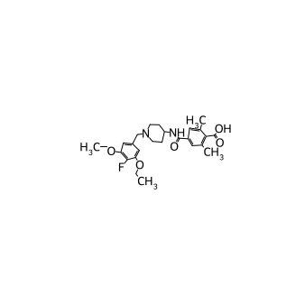 CCOc1cc(CN2CCC(NC(=O)c3cc(C)c(C(=O)O)c(C)c3)CC2)cc(OCC)c1F